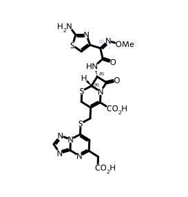 CO/N=C(\C(=O)N[C@@H]1C(=O)N2C(C(=O)O)=C(CSc3cc(CC(=O)O)nc4ncnn34)CS[C@H]12)c1csc(N)n1